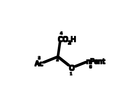 CCCCCOC(C(C)=O)C(=O)O